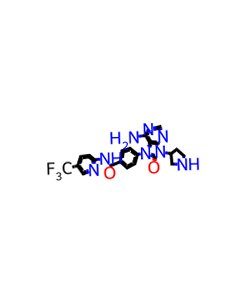 Nc1ncnc2c1n(-c1ccc(C(=O)Nc3ccc(C(F)(F)F)cn3)cc1)c(=O)n2C1CCNC1